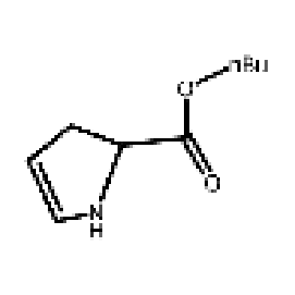 CCCCOC(=O)C1CC=CN1